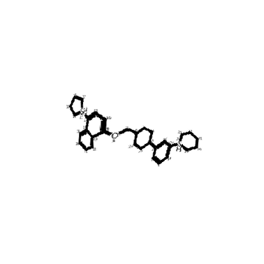 c1cc(C2CCC(COc3ccc([SH]4CCCC4)c4ccccc34)CC2)cc([SH]2CCCCC2)c1